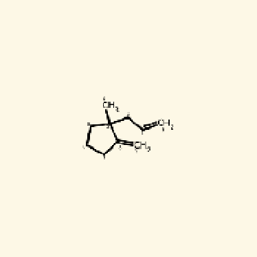 C=CCC1(C)CCCC1=C